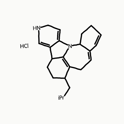 CC(C)CC1CCC2C3=CNCC=C3N3C2=C1CC=C1C=CCCC13.Cl